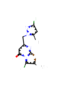 COc1sc2nc(Cn3nc(Cl)cc3C(F)(F)F)cc(=O)n2c1Cl